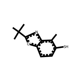 Cc1c(S)ccc2oc(C(C)(C)C)nc12